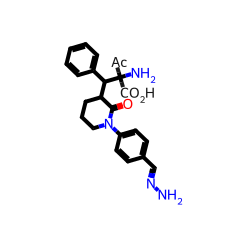 CC(=O)C(N)(C(=O)O)C(c1ccccc1)C1CCCN(c2ccc(C=NN)cc2)C1=O